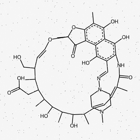 C/C1=C/C=C/C(C)C(O)C(C)C(O)C(C)C(CC(=O)O)C(C)C(CO)/C=C/OC2(C)Oc3c(C)c(O)c4c(O)c(c(/C=N/N5CCN(C)CC5)c(O)c4c3C2=O)NC1=O